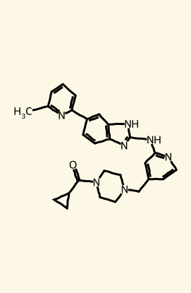 Cc1cccc(-c2ccc3nc(Nc4cc(CN5CCN(C(=O)C6CC6)CC5)ccn4)[nH]c3c2)n1